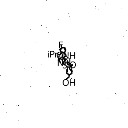 CC(C)Oc1cc(F)ccc1Nc1ncnc2sc(C(=O)N3CCC(CCO)CC3)nc12